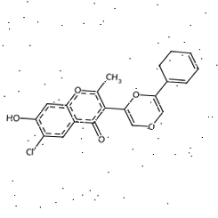 Cc1oc2cc(O)c(Cl)cc2c(=O)c1C1=COC=C(C2=CC=CCC2)O1